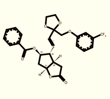 O=C1C[C@@H]2[C@@H](/C=C/C3(COc4cccc(C(F)(F)F)c4)OCCO3)[C@H](OC(=O)c3ccccc3)C[C@@H]2O1